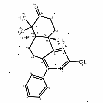 Cc1nc(-c2ccccc2)c2c(n1)[C@@]1(C)CCC(=O)C(C)(C)[C@@H]1CC2